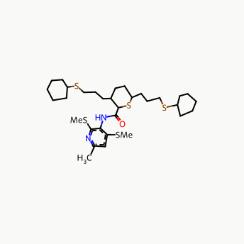 CSc1cc(C)nc(SC)c1NC(=O)C1SC(CCCSC2CCCCC2)CCC1CCCSC1CCCCC1